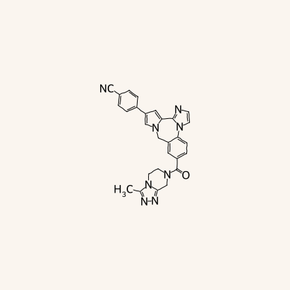 Cc1nnc2n1CCN(C(=O)c1ccc3c(c1)Cn1cc(-c4ccc(C#N)cc4)cc1-c1nccn1-3)C2